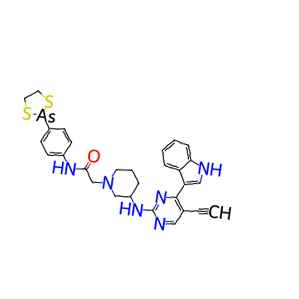 C#Cc1cnc(NC2CCCN(CC(=O)Nc3ccc([As]4SCCS4)cc3)C2)nc1-c1c[nH]c2ccccc12